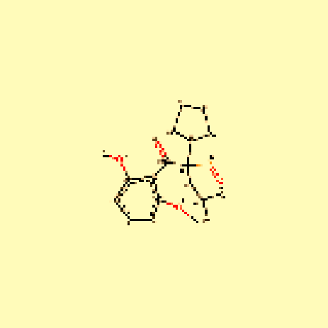 COc1cccc(OC)c1C(=O)C(CC(C)C)(P=O)C1CCCC1